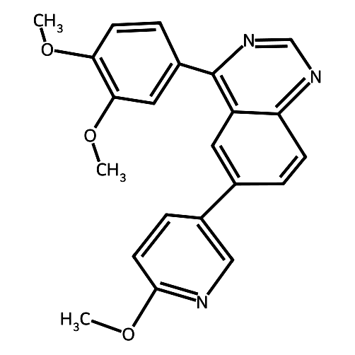 COc1ccc(-c2ccc3ncnc(-c4ccc(OC)c(OC)c4)c3c2)cn1